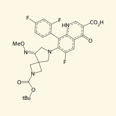 CON=C1CN(c2c(F)cc3c(=O)c(C(=O)O)c[nH]c3c2-c2ccc(F)cc2F)CC12CN(C(=O)OC(C)(C)C)C2